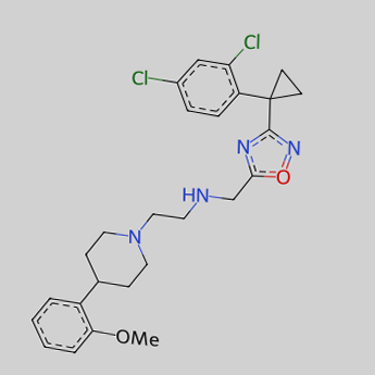 COc1ccccc1C1CCN(CCNCc2nc(C3(c4ccc(Cl)cc4Cl)CC3)no2)CC1